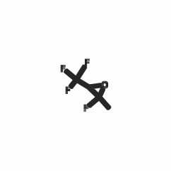 CC1(F)OC1C(F)(F)F